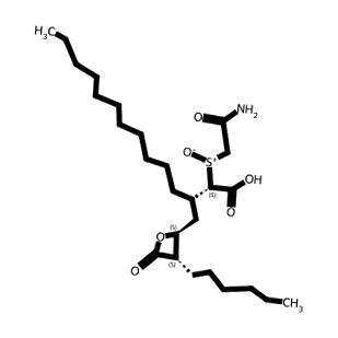 CCCCCCCCCCCC(C[C@@H]1OC(=O)[C@H]1CCCCCC)[C@@H](C(=O)O)[S+]([O-])CC(N)=O